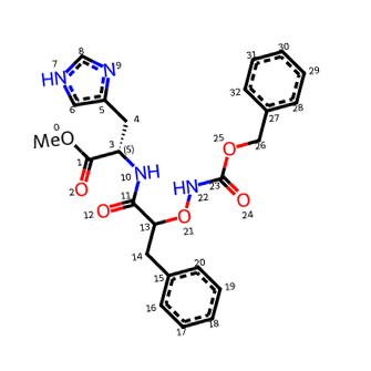 COC(=O)[C@H](Cc1c[nH]cn1)NC(=O)C(Cc1ccccc1)ONC(=O)OCc1ccccc1